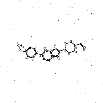 CSc1ccc(-c2ccc3nc(C4CCN(C=O)CC4)sc3n2)cc1